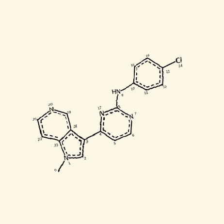 Cn1cc(-c2ccnc(Nc3ccc(Cl)cc3)n2)c2cnccc21